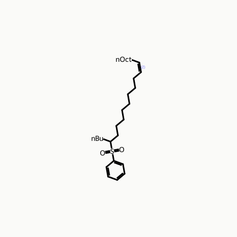 CCCCCCCC/C=C\CCCCCCCCC(CCCC)S(=O)(=O)c1ccccc1